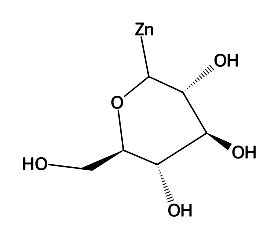 OC[C@H]1O[CH]([Zn])[C@H](O)[C@@H](O)[C@@H]1O